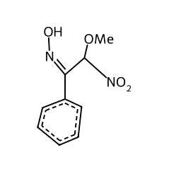 COC(C(=NO)c1ccccc1)[N+](=O)[O-]